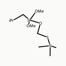 CO[Si](CC(C)C)(OC)OCS[Si](C)(C)C